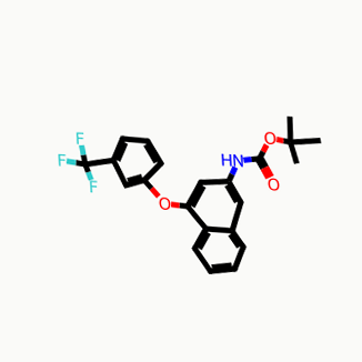 CC(C)(C)OC(=O)Nc1cc(Oc2cccc(C(F)(F)F)c2)c2ccccc2c1